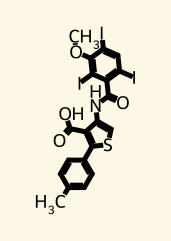 COc1c(I)cc(I)c(C(=O)Nc2csc(-c3ccc(C)cc3)c2C(=O)O)c1I